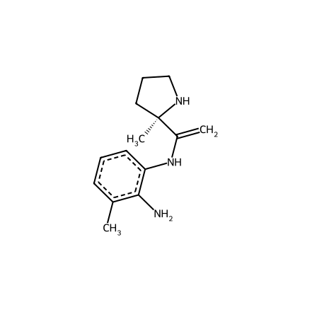 C=C(Nc1cccc(C)c1N)[C@@]1(C)CCCN1